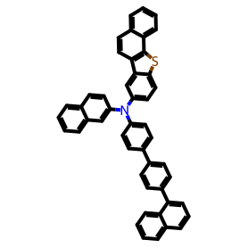 c1ccc2cc(N(c3ccc(-c4ccc(-c5cccc6ccccc56)cc4)cc3)c3ccc4sc5c6ccccc6ccc5c4c3)ccc2c1